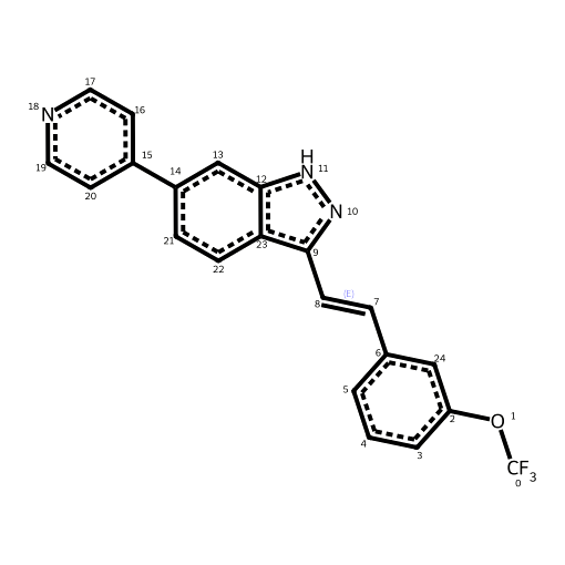 FC(F)(F)Oc1cccc(/C=C/c2n[nH]c3cc(-c4ccncc4)ccc23)c1